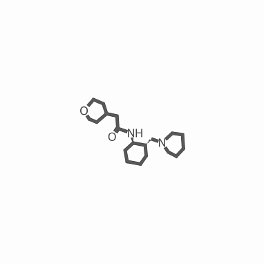 O=C(CC1CCOCC1)N[C@@H]1CCCC[C@H]1CN1CCCCC1